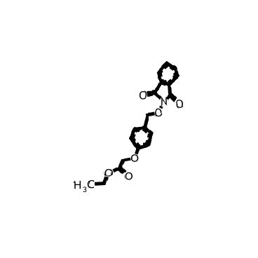 CCOC(=O)COc1ccc(CON2C(=O)c3ccccc3C2=O)cc1